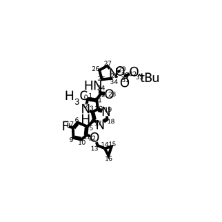 Cc1[nH]c2c(-c3cc(F)ccc3OCC3CC3)ncnc2c1C(=O)N[C@@H]1CCN(OC(=O)OC(C)(C)C)C1